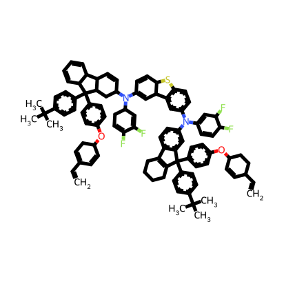 C=CC1=CCC(Oc2ccc(C3(c4ccc(C(C)(C)C)cc4)C4C=CC=CC4C4C=CC(N(C5=CC6c7cc(N(C8=CC(F)C(F)C=C8)c8ccc9c(c8)C(c8ccc(OC%10C=CC(C=C)CC%10)cc8)(c8ccc(C(C)(C)C)cc8)C8=C9CCCC8)ccc7SC6C=C5)C5C=C(F)C(F)=CC5)CC43)cc2)C=C1